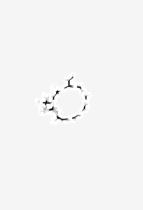 [2H]C([2H])([2H])N1CC(=O)OC(CC)CCCCCCCCCCC(=O)NC1=N